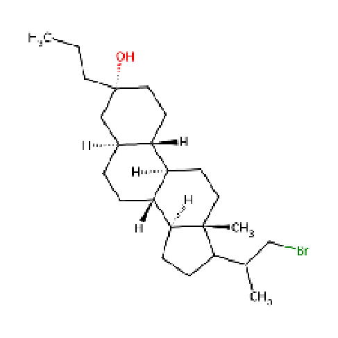 CCC[C@@]1(O)CC[C@H]2[C@@H](CC[C@@H]3[C@@H]2CC[C@]2(C)C(C(C)CBr)CC[C@@H]32)C1